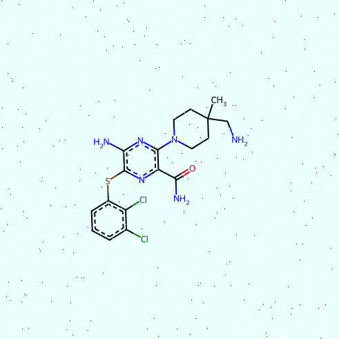 CC1(CN)CCN(c2nc(N)c(Sc3cccc(Cl)c3Cl)nc2C(N)=O)CC1